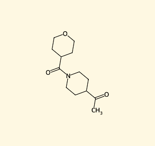 CC(=O)C1CCN(C(=O)C2CCOCC2)CC1